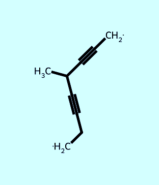 [CH2]C#CC(C)C#CC[CH2]